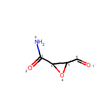 NC(=O)C1OC1[C]=O